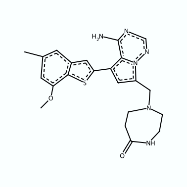 COc1cc(C)cc2cc(-c3cc(CN4CCNC(=O)CC4)n4ncnc(N)c34)sc12